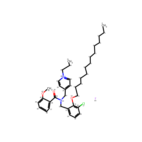 CCCCCCCCCCCCCCOc1c(Cl)cccc1CN(Cc1cc[n+](CCC)cc1)C(=O)c1ccccc1OC.[I-]